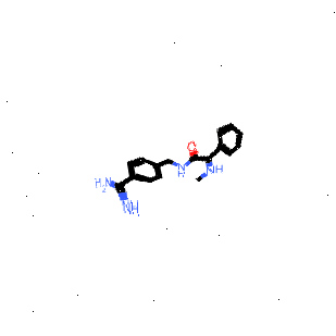 CNC(C(=O)NCc1ccc(C(=N)N)cc1)c1ccccc1